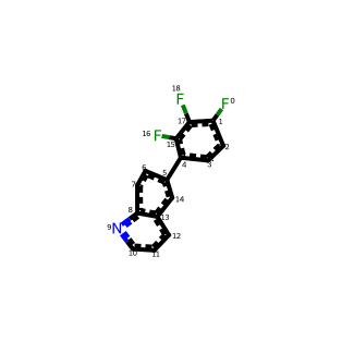 Fc1c[c]c(-c2ccc3ncccc3c2)c(F)c1F